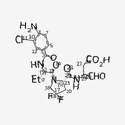 CC[C@H](NC(=O)c1ccc(N)c(Cl)c1)C(=O)N1CC(F)(F)C[C@H]1C(=O)N[C@H](C=O)CC(=O)O